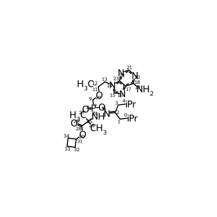 CC(C)CC(CC(C)C)=NOP(=O)(CO[C@H](C)Cn1cnc2c(N)ncnc21)NC(C)(C)C(=O)OC1CCC1